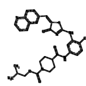 CC(C)COC(=O)N1CCC(C(=O)Nc2ccc(Cl)c(NC3=NC(=O)C(=Cc4ccc5ncccc5c4)S3)c2)CC1